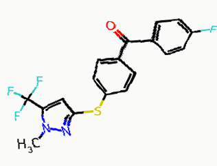 Cn1nc(Sc2ccc(C(=O)c3ccc(F)cc3)cc2)cc1C(F)(F)F